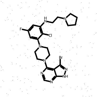 Fc1cc(NCCN2CCCC2)c(Cl)c(N2CCN(c3ncnc4[nH]nc(Br)c34)CC2)c1